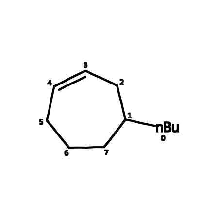 [CH2]CCCC1CC=CCCC1